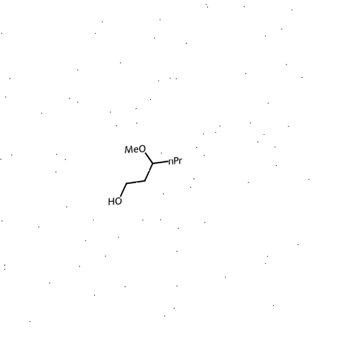 CCCC(CCO)OC